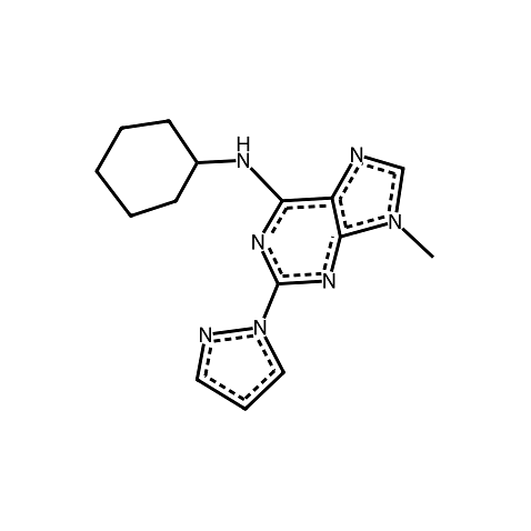 Cn1cnc2c(NC3CCCCC3)nc(-n3cccn3)nc21